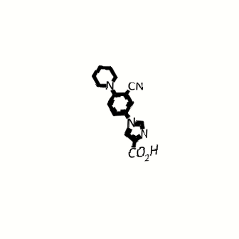 N#Cc1cc(-n2cnc(C(=O)O)c2)ccc1N1CCCCC1